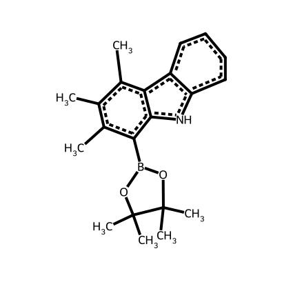 Cc1c(C)c(C)c2c([nH]c3ccccc32)c1B1OC(C)(C)C(C)(C)O1